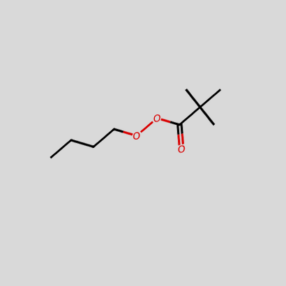 CCCCOOC(=O)C(C)(C)C